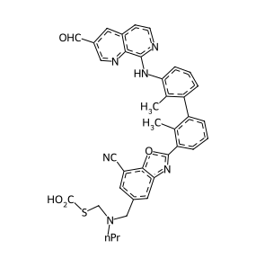 CCCN(CSC(=O)O)Cc1cc(C#N)c2oc(-c3cccc(-c4cccc(Nc5nccc6cc(C=O)cnc56)c4C)c3C)nc2c1